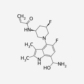 C=CC(=O)N[C@H]1C[C@@H](F)CN(c2c(F)cc(C(N)O)c3[nH]c(C)c(C)c23)C1